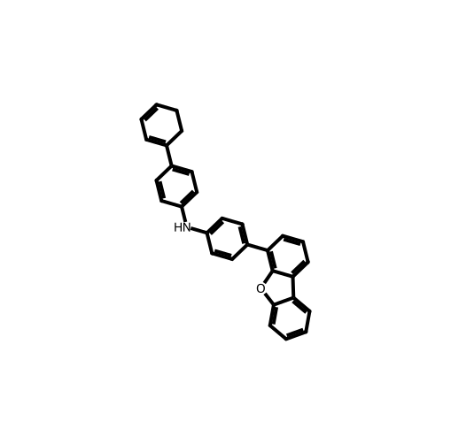 C1=CCCC(c2ccc(Nc3ccc(-c4cccc5c4oc4ccccc45)cc3)cc2)=C1